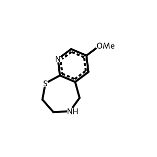 COc1cnc2c(c1)CNCCS2